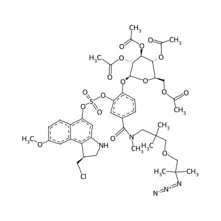 COc1ccc2c(OS(=O)(=O)Oc3cc(C(=O)N(C)CC(C)(C)COCC(C)(C)N=[N+]=[N-])ccc3O[C@@H]3O[C@H](COC(C)=O)[C@@H](OC(C)=O)[C@H](OC(C)=O)[C@H]3OC(C)=O)cc3c(c2c1)[C@H](CCl)CN3